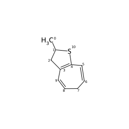 CC1CC2=C(C=CCC=C2)S1